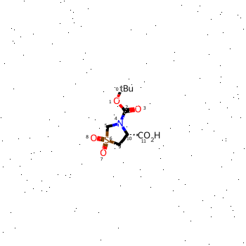 CC(C)(C)OC(=O)N1CS(=O)(=O)C[C@H]1C(=O)O